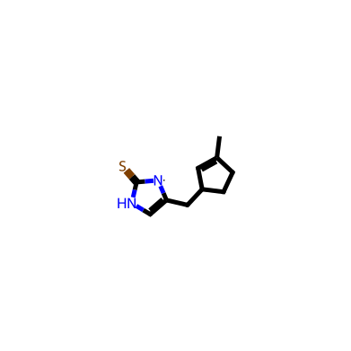 CC1=CC(CC2=CNC(=S)[N]2)CC1